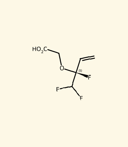 C=C[C@@](F)(OCC(=O)O)C(F)F